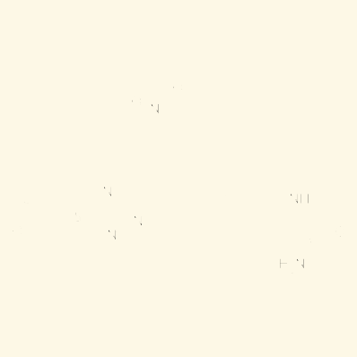 CC(=O)CSc1nnc(-c2cc(-c3ccc4[nH]c(C(N)=O)cc4c3C)cc([N+](=O)[O-])c2)[nH]1